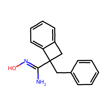 NC(=NO)C1(Cc2ccccc2)Cc2ccccc21